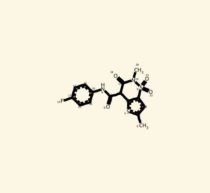 Cc1cc2c(s1)C(C(=O)Nc1ccc(F)cc1)C(=O)N(C)S2(=O)=O